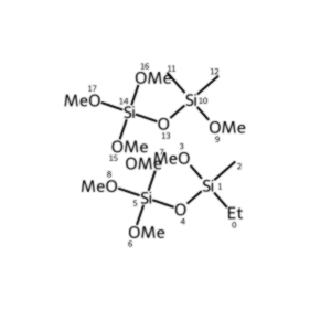 CC[Si](C)(OC)O[Si](OC)(OC)OC.CO[Si](C)(C)O[Si](OC)(OC)OC